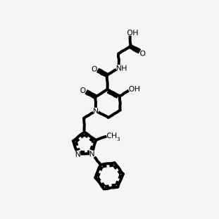 Cc1c(CN2CCC(O)=C(C(=O)NCC(=O)O)C2=O)cnn1-c1ccccc1